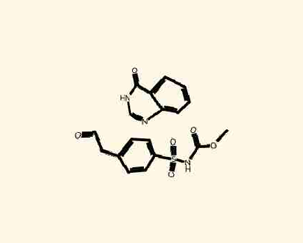 COC(=O)NS(=O)(=O)c1ccc(CC=O)cc1.O=c1[nH]cnc2ccccc12